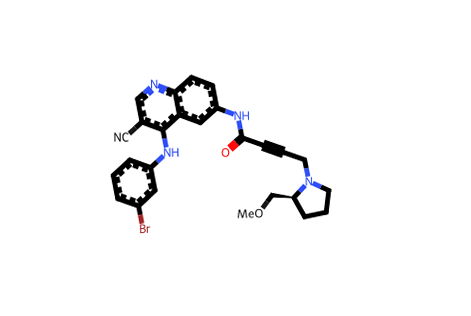 COC[C@@H]1CCCN1CC#CC(=O)Nc1ccc2ncc(C#N)c(Nc3cccc(Br)c3)c2c1